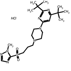 Cl.Cn1ncnc1S(=O)(=O)CCCN1CCN(c2cc(C(C)(C)C)nc(C(C)(C)C)n2)CC1